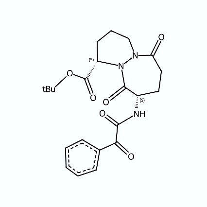 CC(C)(C)OC(=O)[C@@H]1CCCN2C(=O)CC[C@H](NC(=O)C(=O)c3ccccc3)C(=O)N12